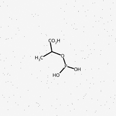 CC(OP(O)O)C(=O)O